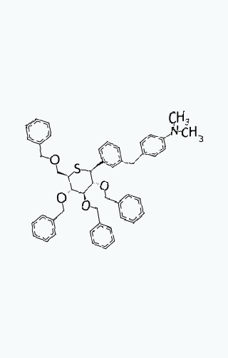 CN(C)c1ccc(Cc2cccc([C@@H]3S[C@H](COCc4ccccc4)[C@@H](OCc4ccccc4)[C@H](OCc4ccccc4)[C@H]3OCc3ccccc3)c2)cc1